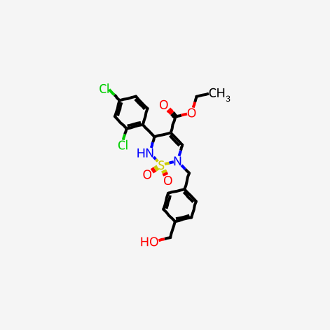 CCOC(=O)C1=CN(Cc2ccc(CO)cc2)S(=O)(=O)NC1c1ccc(Cl)cc1Cl